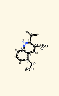 C=C(C)c1nc2cccc(CC(C)C)c2cc1C(C)(C)C